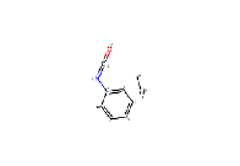 CCCC.O=C=Nc1ccccc1